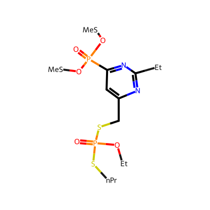 CCCSP(=O)(OCC)SCc1cc(P(=O)(OSC)OSC)nc(CC)n1